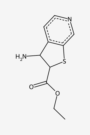 CCOC(=O)C1Sc2cnccc2C1N